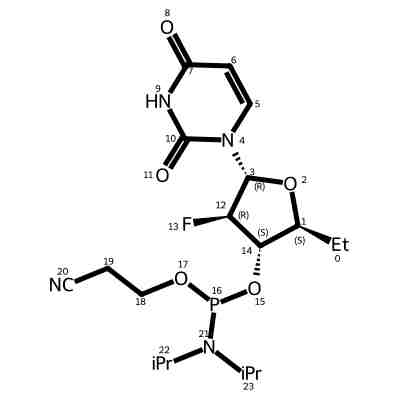 CC[C@@H]1O[C@@H](n2ccc(=O)[nH]c2=O)[C@H](F)[C@H]1OP(OCCC#N)N(C(C)C)C(C)C